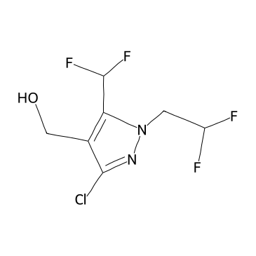 OCc1c(Cl)nn(CC(F)F)c1C(F)F